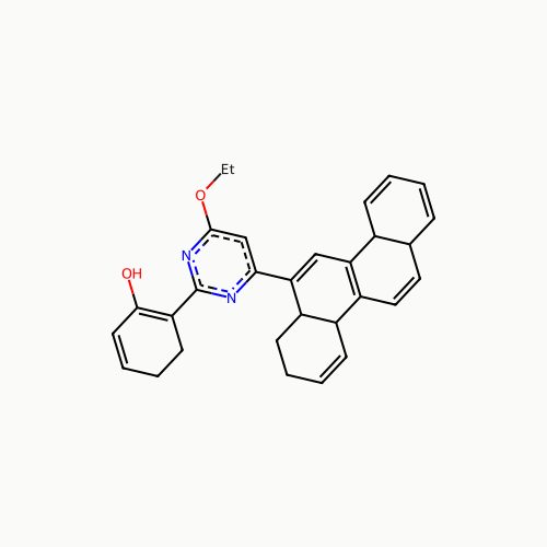 CCOc1cc(C2=CC3=C(C=CC4C=CC=CC34)C3C=CCCC23)nc(C2=C(O)C=CCC2)n1